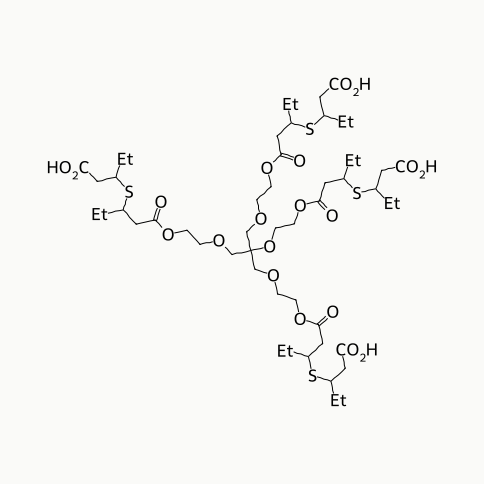 CCC(CC(=O)O)SC(CC)CC(=O)OCCOCC(COCCOC(=O)CC(CC)SC(CC)CC(=O)O)(COCCOC(=O)CC(CC)SC(CC)CC(=O)O)OCCOC(=O)CC(CC)SC(CC)CC(=O)O